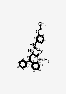 CCOc1cccc(NC(=O)NC2C=C(c3ccccc3)c3ccccc3N(C)C2=O)c1